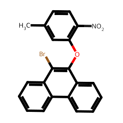 Cc1ccc([N+](=O)[O-])c(Oc2c(Br)c3ccccc3c3ccccc23)c1